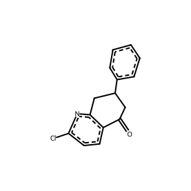 O=C1CC(c2ccccc2)Cc2nc(Cl)ccc21